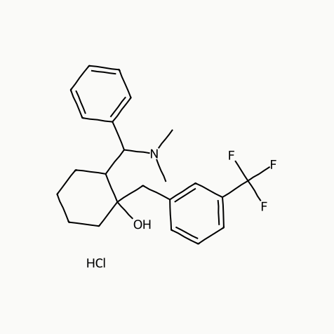 CN(C)C(c1ccccc1)C1CCCCC1(O)Cc1cccc(C(F)(F)F)c1.Cl